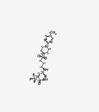 Cc1cnc(N2CCN(S(=O)(=O)CCCNc3cc(C(F)(F)F)c(=O)[nH]n3)CC2)nc1